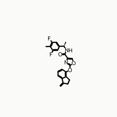 C=C1CCc2c(Oc3nc(C(=O)N[C@H](C)c4cc(F)c(C)c(F)c4)co3)cccc21